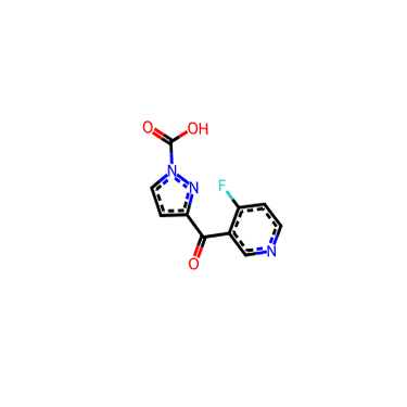 O=C(c1ccn(C(=O)O)n1)c1cnccc1F